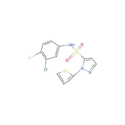 O=S(=O)(Nc1ccc(F)c(Cl)c1)c1ccnn1-c1cccs1